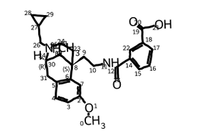 COc1ccc2c(c1)[C@@]1(CCNC(=O)c3cccc(C(=O)O)c3)CCN(CC3CC3)[C@H](C2)[C@@H]1C